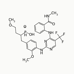 CNC(=O)c1ccccc1Nc1nc(Nc2ccc(CC(CCOC)[PH](=O)O)cc2OC)ncc1C(F)(F)F